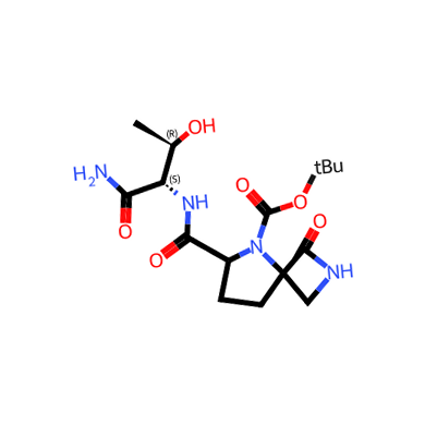 C[C@@H](O)[C@H](NC(=O)C1CCC2(CNC2=O)N1C(=O)OC(C)(C)C)C(N)=O